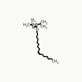 CCCCCC/C=C\CCCCCCCCOC(=NC(C)C)NC(C)C